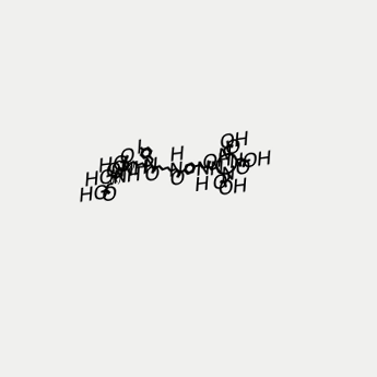 O=C(O)CC[C@@H](NC(=O)N[C@H](CCCCN(Cc1ccc(I)cc1)C(=O)CCCCNC(=O)c1ccc(CNC(O)CN2CCN(CC(=O)O)CCN(CC(=O)O)CCN(CC(=O)O)CC2)cc1)C(=O)O)C(=O)O